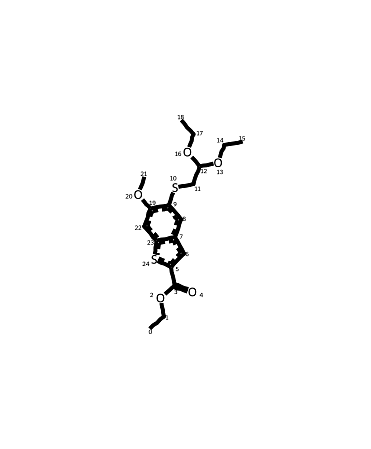 CCOC(=O)c1cc2cc(SCC(OCC)OCC)c(OC)cc2s1